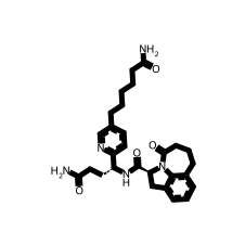 NC(=O)CCCCCc1ccc([C@@H](CCC(N)=O)NC(=O)[C@@H]2Cc3cccc4c3N2C(=O)CCC4)nc1